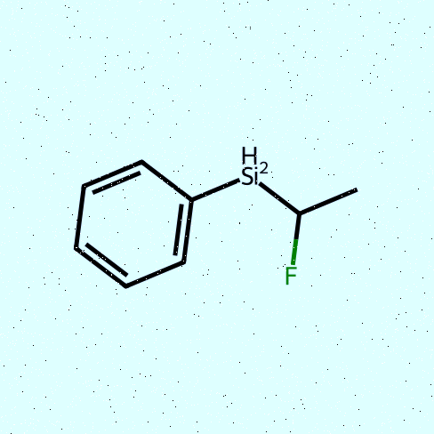 CC(F)[SiH2]c1ccccc1